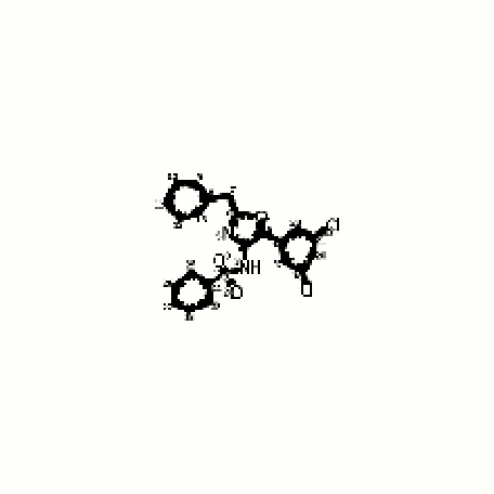 O=S(=O)(Nc1nc(Cc2ccccc2)oc1-c1cc(Cl)cc(Cl)c1)c1ccccc1